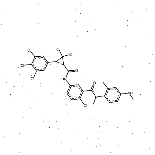 CNc1ccc(N(C)C(=O)c2cc(NC(=O)C3C(c4cc(Cl)c(Cl)c(Cl)c4)C3(Cl)Cl)ccc2Cl)c(C)c1